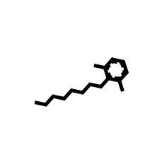 CCCCCCCCc1c(C)[c]ccc1C